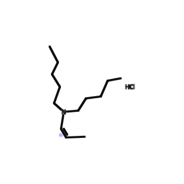 C/C=C\N(CCCCC)CCCCC.Cl